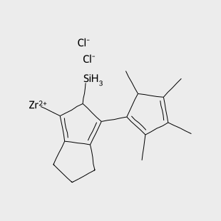 CC1=C(C)C(C)C(C2=C3CCCC3=[C]([Zr+2])C2[SiH3])=C1C.[Cl-].[Cl-]